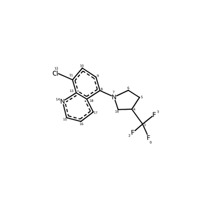 FC(F)(F)C1CCN(c2ccc(Cl)c3ncccc23)C1